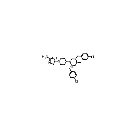 CN1C[C@H](Cc2ccc(Cl)cc2)N(C2CCN(c3nnc(N)[nH]3)CC2)CC1Cc1ccc(Cl)cc1